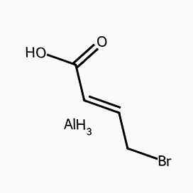 O=C(O)C=CCBr.[AlH3]